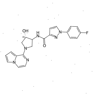 O=C(NC1CN(c2nccn3cccc23)C[C@@H]1O)c1ccn(-c2ccc(F)cc2)n1